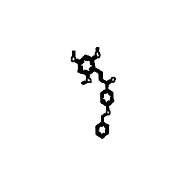 COc1cc(OC)c(C=CC(=O)c2ccc(OCc3ccccc3)cc2)c(OC)c1